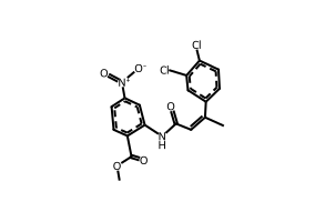 COC(=O)c1ccc([N+](=O)[O-])cc1NC(=O)/C=C(/C)c1ccc(Cl)c(Cl)c1